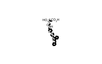 O=C(O)CC(SCC(=O)NCc1ccc(N2CCN(c3nnc(Cc4ccccc4)c4ccccc34)CC2)nc1)C(=O)O